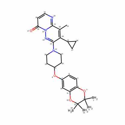 BC1(B)Oc2ccc(OC3CCN(c4nn5c(=O)ccnc5c(C)c4C4CC4)CC3)cc2OC1(B)B